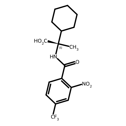 C[C@@](NC(=O)c1ccc(C(F)(F)F)cc1[N+](=O)[O-])(C(=O)O)C1CCCCC1